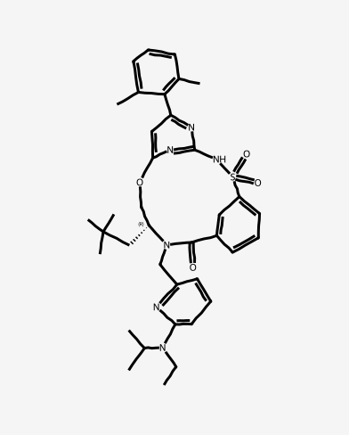 CCN(c1cccc(CN2C(=O)c3cccc(c3)S(=O)(=O)Nc3nc(cc(-c4c(C)cccc4C)n3)OC[C@H]2CC(C)(C)C)n1)C(C)C